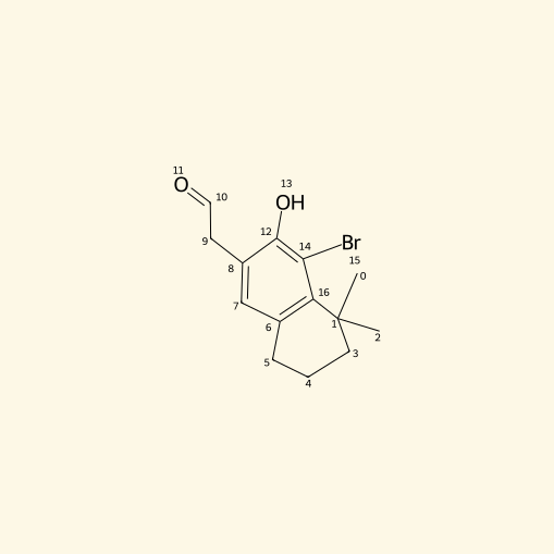 CC1(C)CCCc2cc(CC=O)c(O)c(Br)c21